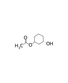 CC(=O)OC1CCC[C@H](O)C1